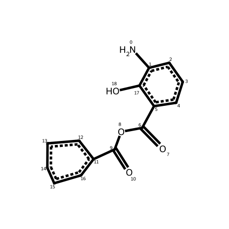 Nc1cccc(C(=O)OC(=O)c2ccccc2)c1O